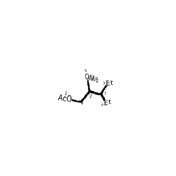 CCC(CC)C(COC(C)=O)OC